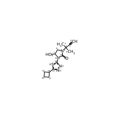 C#CC(C)(C)N1CC(O)N(c2nnc(C3CCC3)s2)C1=O